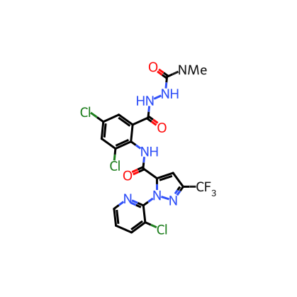 CNC(=O)NNC(=O)c1cc(Cl)cc(Cl)c1NC(=O)c1cc(C(F)(F)F)nn1-c1ncccc1Cl